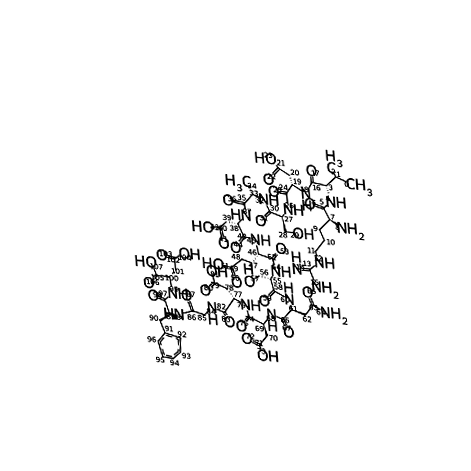 CC(C)[C@H](NC(=O)[C@@H](N)CCCNC(=N)N)C(=O)N[C@@H](CC(=O)O)C(=O)N[C@@H](CO)C(=O)N[C@@H](C)C(=O)N[C@@H](CC(=O)O)C(=O)N[C@@H](CCC(=O)O)C(=O)N[C@@H](CO)C(=O)N[C@@H](CC(N)=O)C(=O)N[C@@H](CC(=O)O)C(=O)N[C@@H](CC(=O)O)C(=O)NCC(=O)N[C@@H](Cc1ccccc1)C(=O)N[C@@H](CC(=O)O)C(=O)O